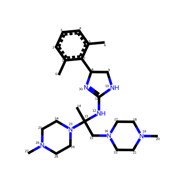 Cc1cccc(C)c1C1CNC(NC(C)(CN2CCN(C)CC2)N2CCN(C)CC2)=N1